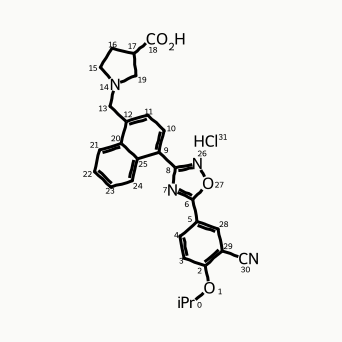 CC(C)Oc1ccc(-c2nc(-c3ccc(CN4CCC(C(=O)O)C4)c4ccccc34)no2)cc1C#N.Cl